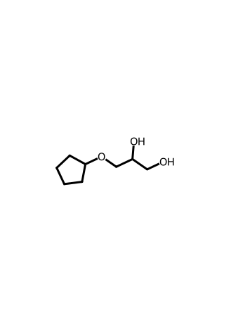 OCC(O)COC1CCCC1